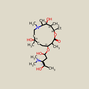 CC[C@H]1OC(=O)C(C)[C@@H](OC(O)C/C(=C(\C)O)N(C)C)CC[C@](C)(O)CCN(C)C(C)C(O)[C@H]1C